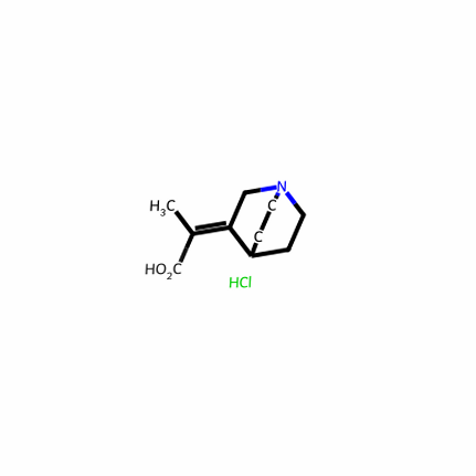 CC(C(=O)O)=C1CN2CCC1CC2.Cl